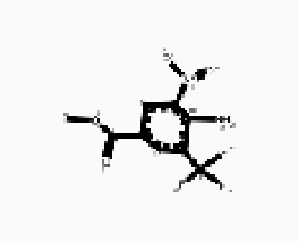 COC(=O)c1cc([N+](=O)[O-])c(N)c(C(F)(F)F)c1